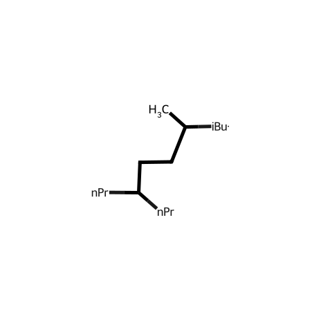 CCCC(CCC)CCC(C)[C](C)CC